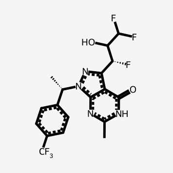 Cc1nc2c(c([C@@H](F)C(O)C(F)F)nn2[C@@H](C)c2ccc(C(F)(F)F)cc2)c(=O)[nH]1